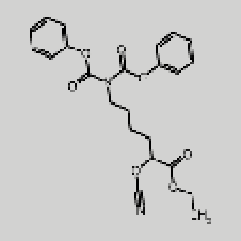 CCOC(=O)C(CCCCN(C(=O)Oc1ccccc1)C(=O)Oc1ccccc1)OC#N